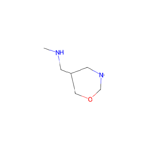 CNCC1C[N]COC1